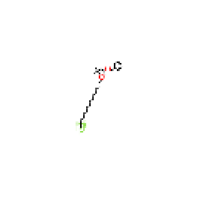 CC(C)(C)CC(COCCCCCCCCCCCCCCC(F)(F)C(F)(F)F)OCc1ccccc1